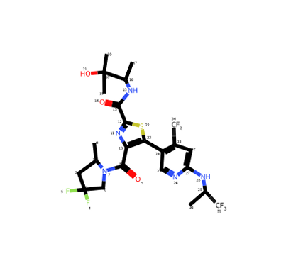 CC1CC(F)(F)CN1C(=O)c1nc(C(=O)NC(C)C(C)(C)O)sc1-c1cnc(NC(C)C(F)(F)F)cc1C(F)(F)F